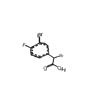 O=C(O)C(Br)c1ccc(F)c(Br)c1